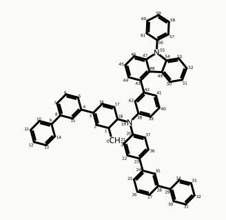 CC1C=C(c2cccc(-c3ccccc3)c2)C=CC1N(c1ccc(-c2cccc(-c3ccccc3)c2)cc1)c1cccc(-c2cccc3c2c2ccccc2n3-c2ccccc2)c1